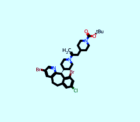 C=C(CC1CCN(C(=O)OC(C)(C)C)CC1)N1CCC([C@H]2c3ncc(Br)cc3CCc3cc(Cl)cc(Br)c32)CC1